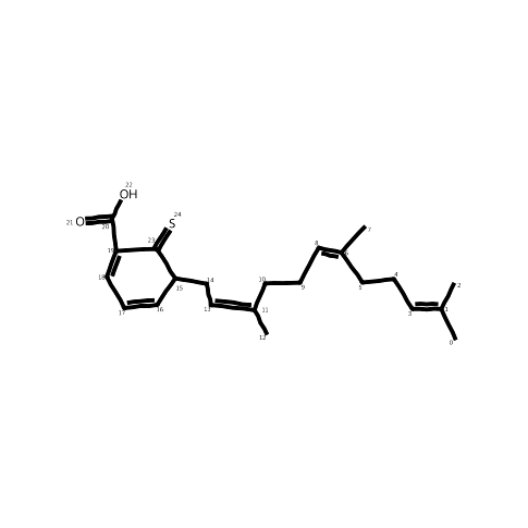 CC(C)=CCCC(C)=CCCC(C)=CCC1C=CC=C(C(=O)O)C1=S